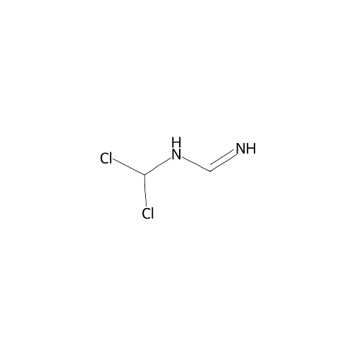 N=CNC(Cl)Cl